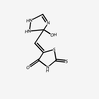 O=C1NC(=S)SC1=CC1(O)N=CNN1